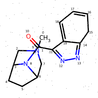 CN1CC2CCC(C1)N2C(=O)C1=NN=C2CC=CC=C21